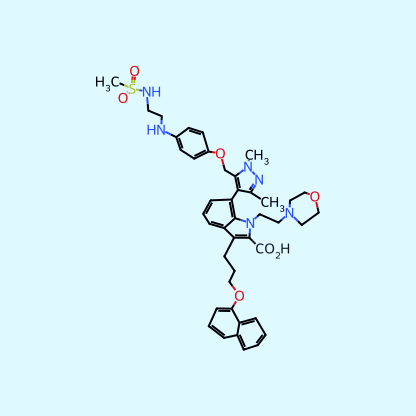 Cc1nn(C)c(COc2ccc(NCCNS(C)(=O)=O)cc2)c1-c1cccc2c(CCCOc3cccc4ccccc34)c(C(=O)O)n(CCN3CCOCC3)c12